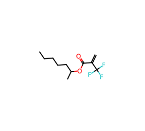 C=C(C(=O)OC(C)CCCCC)C(F)(F)F